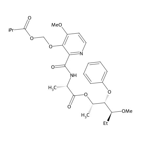 CC[C@H](OC)[C@@H](Oc1ccccc1)[C@H](C)OC(=O)[C@H](C)NC(=O)c1nccc(OC)c1OCOC(=O)C(C)C